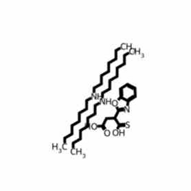 CCCCCCCCNCCCCCCCC.CCCCCCCCNCCCCCCCC.O=C(O)CC(C(O)=S)c1nc2ccccc2o1